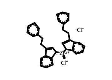 [CH2]=[Zr+2]([CH]1C=C(CCc2ccccc2)c2ccccc21)[CH]1C=C(CCc2ccccc2)c2ccccc21.[Cl-].[Cl-]